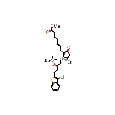 CC[C@@H]1CC(=O)[C@H](CC=CCCCC(=O)OC)[C@H]1C=CC(CCc1sc2ccccc2c1Cl)O[Si](C)(C)C(C)(C)C